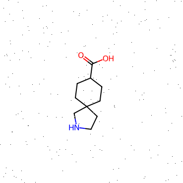 O=C(O)C1CCC2(CCNC2)CC1